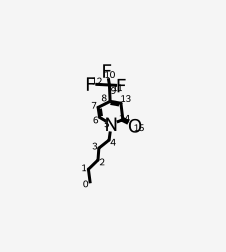 CCCCCn1ccc(C(F)(F)F)cc1=O